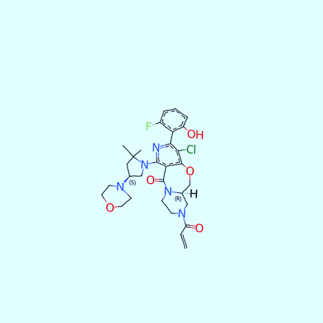 C=CC(=O)N1CCN2C(=O)c3c(N4C[C@@H](N5CCOCC5)CC4(C)C)nc(-c4c(O)cccc4F)c(Cl)c3OC[C@H]2C1